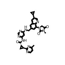 Cc1ccnc(C2C[C@@H]2C(=O)Nc2cc(NCc3cc(N4CC(=O)N(C)C4=O)c4ncc(C5CC5)cc4c3)ncn2)n1